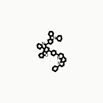 c1ccc(-c2ccc3ccc4ccc(-c5ccc(-c6cc7c(-c8ccc9c(c8)c8ccccc8n9-c8ccccc8)nc8ccccc8c7c7c6oc6ccccc67)cc5)nc4c3n2)cc1